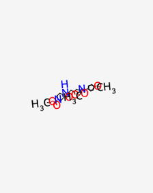 CCOC(=O)N1CCC(NC(=O)CC(=O)Cc2nc(-c3ccc(OC)cc3)oc2C)CC1